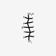 O=S(=O)(O)C(F)(F)C(F)(F)C(F)(F)C(F)(F)C(F)(F)C(F)(F)F.[Tl]